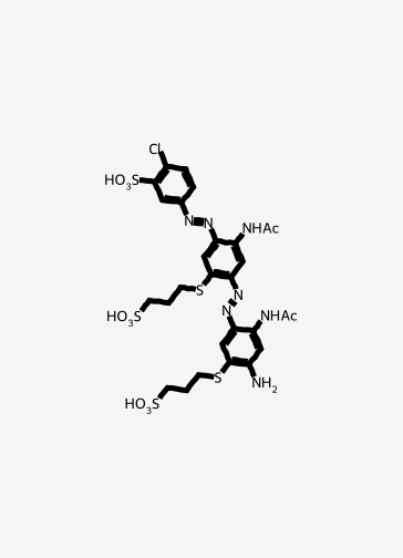 CC(=O)Nc1cc(N=Nc2cc(SCCCS(=O)(=O)O)c(N)cc2NC(C)=O)c(SCCCS(=O)(=O)O)cc1N=Nc1ccc(Cl)c(S(=O)(=O)O)c1